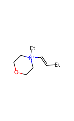 CCC=C[N+]1(CC)CCOCC1